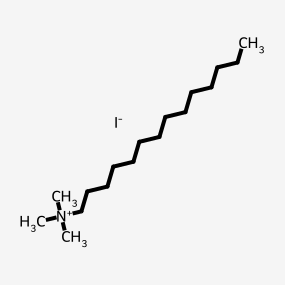 CCCCCCCCCCCCCC[N+](C)(C)C.[I-]